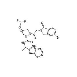 CC(NC(=O)[C@@H]1C[C@@H](OC(F)F)CN1C(=O)CN1Cc2cc(Br)ccc2C1=O)c1cc2cnccc2[nH]1